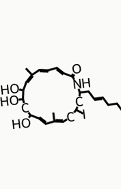 CCC/C=C/CC1CC(I)C/C=C(C)/C=C/C(O)CC(O)C(O)\C=C(C)/C=C/C=C/C(=O)N1